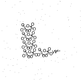 O=S(=O)([O-])OS(=O)(=O)[O-].O=S(=O)([O-])OS(=O)(=O)[O-].O=S(=O)([O-])OS(=O)(=O)[O-].O=S(=O)([O-])OS(=O)(=O)[O-].O=S(=O)([O-])OS(=O)(=O)[O-].[V+5].[V+5]